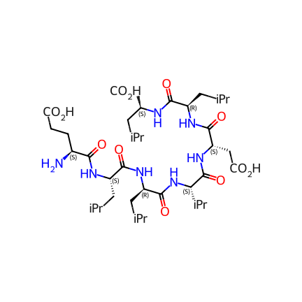 CC(C)C[C@H](NC(=O)[C@@H](CC(C)C)NC(=O)[C@H](CC(=O)O)NC(=O)[C@@H](NC(=O)[C@@H](CC(C)C)NC(=O)[C@H](CC(C)C)NC(=O)[C@@H](N)CCC(=O)O)C(C)C)C(=O)O